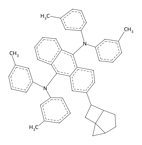 Cc1cccc(N(c2cccc(C)c2)c2c3ccccc3c(N(c3cccc(C)c3)c3cccc(C)c3)c3cc(C4CC56CC5CCC46)ccc23)c1